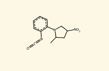 CC1CC([N+](=O)[O-])CN1c1ccccc1N=C=O